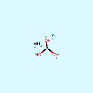 OB(O)O.[AlH3].[Y]